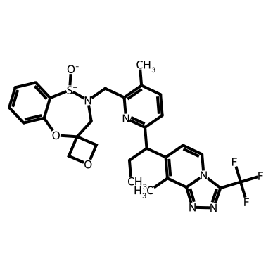 CCC(c1ccc(C)c(CN2CC3(COC3)Oc3ccccc3[S+]2[O-])n1)c1ccn2c(C(F)(F)F)nnc2c1C